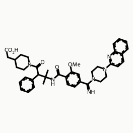 COc1cc(C(=N)N2CCN(c3ccc4ccccc4n3)CC2)ccc1C(=O)NC(C)(C)C(C(=O)N1CCC(CC(=O)O)CC1)c1ccccc1